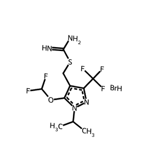 Br.CC(C)n1nc(C(F)(F)F)c(CSC(=N)N)c1OC(F)F